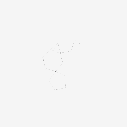 O=C(O)CC12C=C1COC1(CCCC1)C2